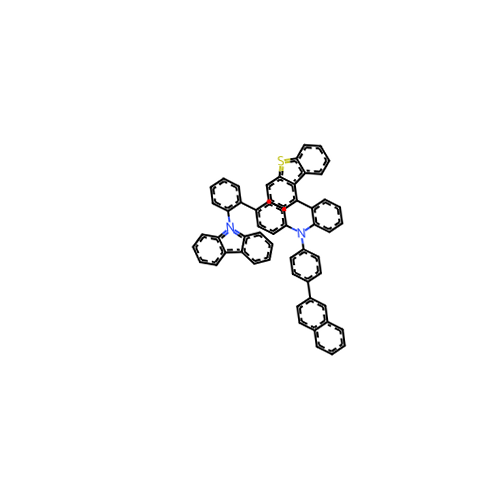 c1ccc(N(c2ccc(-c3ccc4ccccc4c3)cc2)c2ccc(-c3ccccc3-n3c4ccccc4c4ccccc43)cc2)c(-c2cccc3sc4ccccc4c23)c1